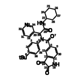 CC(C)(C)c1ccc(N(C(=O)c2ccc3c(c2)C(=O)C(=O)N3)C(C(=O)NC2CCCCC2)c2cccnc2)cc1